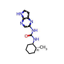 C[C@@H]1CCCCC1NC(=O)Nc1cnc2[nH]ccc2n1